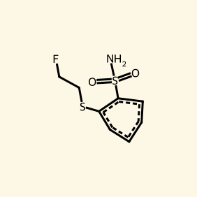 NS(=O)(=O)c1ccccc1SCCF